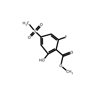 COC(=O)c1c(O)cc(S(C)(=O)=O)cc1F